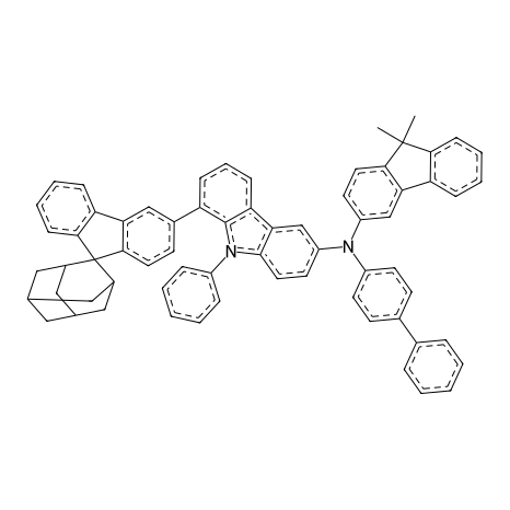 CC1(C)c2ccccc2-c2cc(N(c3ccc(-c4ccccc4)cc3)c3ccc4c(c3)c3cccc(-c5ccc6c(c5)-c5ccccc5C65C6CC7CC(C6)CC5C7)c3n4-c3ccccc3)ccc21